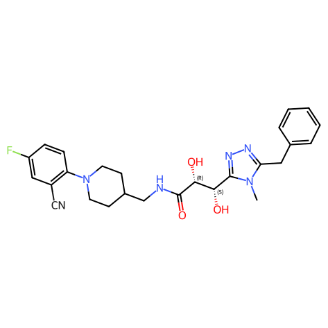 Cn1c(Cc2ccccc2)nnc1[C@H](O)[C@@H](O)C(=O)NCC1CCN(c2ccc(F)cc2C#N)CC1